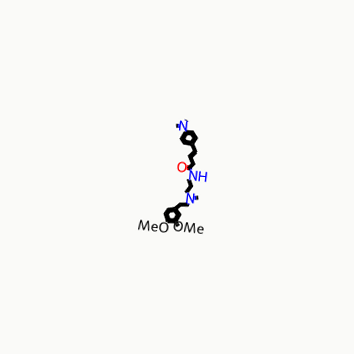 COc1ccc(CCN(C)CCCNC(=O)C/C=C/c2ccc(N(C)C)cc2)cc1OC